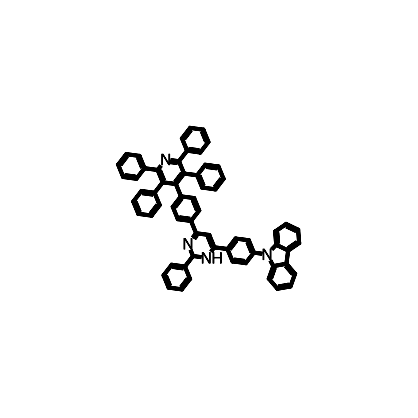 C1=C(c2ccc(-n3c4ccccc4c4ccccc43)cc2)NC(c2ccccc2)N=C1c1ccc(-c2c(-c3ccccc3)c(-c3ccccc3)nc(-c3ccccc3)c2-c2ccccc2)cc1